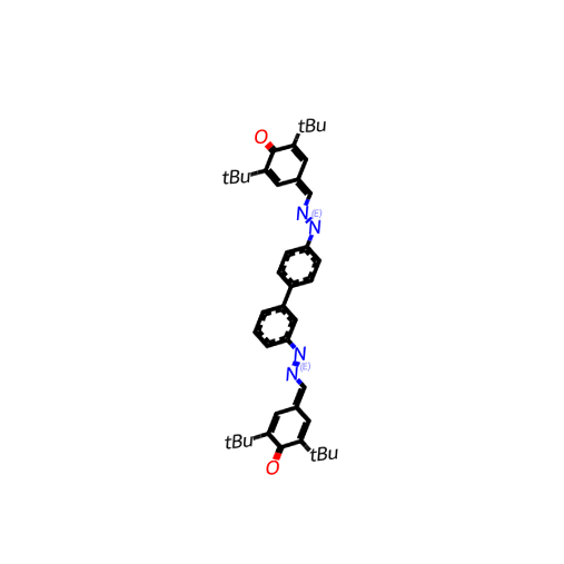 CC(C)(C)C1=CC(=C/N=N/c2ccc(-c3cccc(/N=N/C=C4C=C(C(C)(C)C)C(=O)C(C(C)(C)C)=C4)c3)cc2)C=C(C(C)(C)C)C1=O